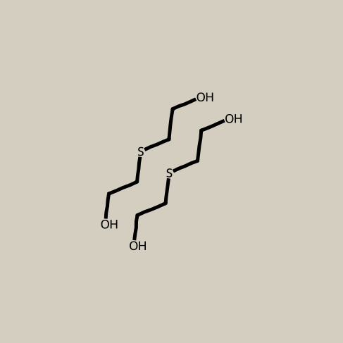 OCCSCCO.OCCSCCO